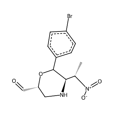 C[C@@H]([C@H]1NC[C@H](C=O)OC1c1ccc(Br)cc1)[N+](=O)[O-]